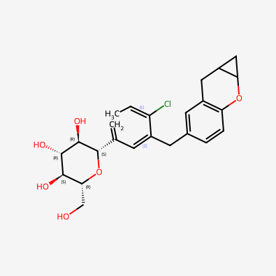 C=C(/C=C(Cc1ccc2c(c1)CC1CC1O2)\C(Cl)=C/C)[C@@H]1O[C@H](CO)[C@@H](O)[C@H](O)[C@H]1O